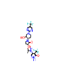 C[C@@H](CO[C@@H]1CCN([C@H]2CCN(c3ncc(C(F)(F)F)cn3)C[C@H]2O)C1=O)Nc1cn[nH]c(=O)c1C(F)(F)F